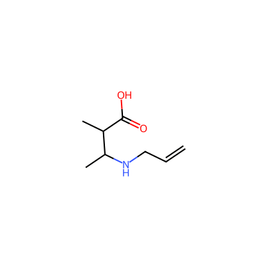 C=CCNC(C)C(C)C(=O)O